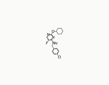 Fc1cnc(OC2CCCCC2)nc1NCc1ccc(Cl)cc1